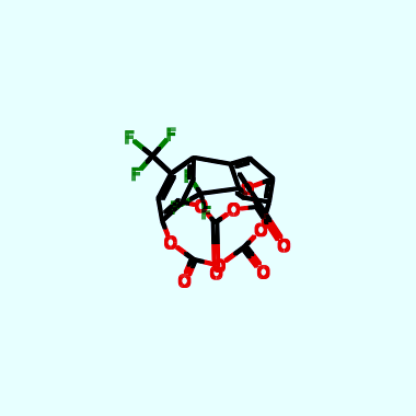 O=C1OC(=O)Oc2cc3c(C(F)(F)F)cc2oc(=O)oc(=O)oc2cc(C(F)(F)F)c3cc2O1